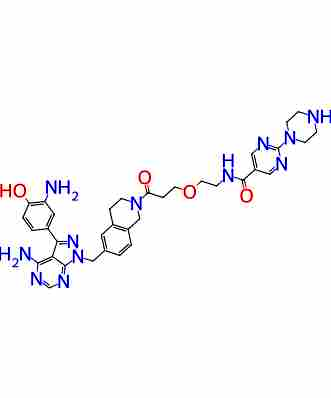 Nc1cc(-c2nn(Cc3ccc4c(c3)CCN(C(=O)CCOCCNC(=O)c3cnc(N5CCNCC5)nc3)C4)c3ncnc(N)c23)ccc1O